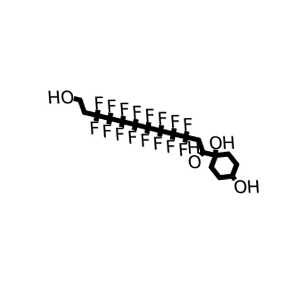 OCCC(F)(F)C(F)(F)C(F)(F)C(F)(F)C(F)(F)C(F)(F)C(F)(F)C(F)(F)CC(O)C1(O)CCC(O)CC1